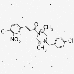 C[C@@H]1CN(C(=O)C=Cc2ccc(Cl)c([N+](=O)[O-])c2)[C@@H](C)CN1Cc1ccc(Cl)cc1